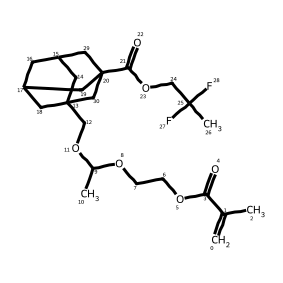 C=C(C)C(=O)OCCOC(C)OCC12CC3CC(C1)CC(C(=O)OCC(C)(F)F)(C3)C2